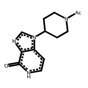 CC(=O)N1CCC(n2cnc3c(=O)[nH]ccc32)CC1